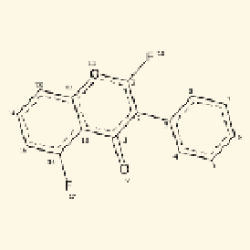 O=c1c(-c2ccccc2)c(F)oc2cccc(F)c12